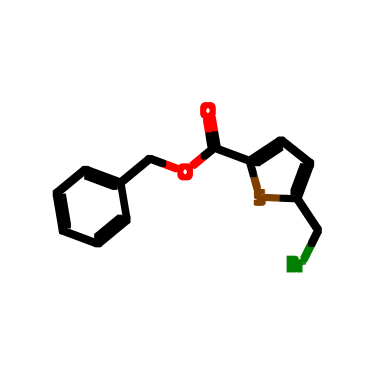 O=C(OCc1ccccc1)c1ccc(CBr)s1